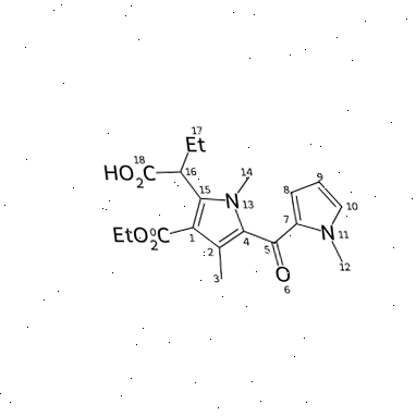 CCOC(=O)c1c(C)c(C(=O)c2cccn2C)n(C)c1C(CC)C(=O)O